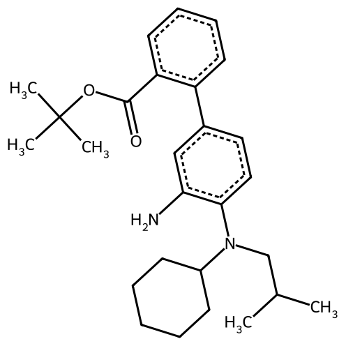 CC(C)CN(c1ccc(-c2ccccc2C(=O)OC(C)(C)C)cc1N)C1CCCCC1